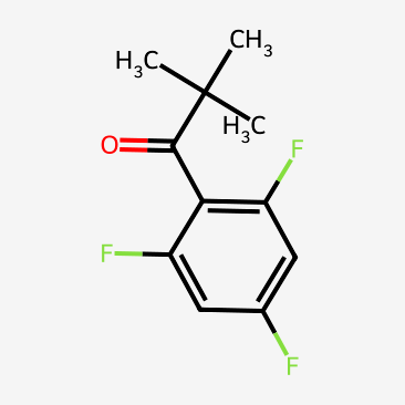 CC(C)(C)C(=O)c1c(F)cc(F)cc1F